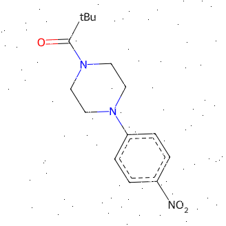 CC(C)(C)C(=O)N1CCN(c2ccc([N+](=O)[O-])cc2)CC1